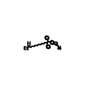 CCPCCCCCCCCCC/C(=C(\c1ccccc1)c1ccc(OCCN(C)C)cc1)c1ccccc1